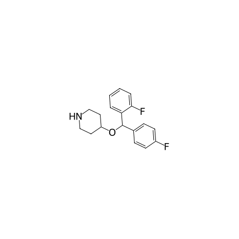 Fc1ccc(C(OC2CCNCC2)c2ccccc2F)cc1